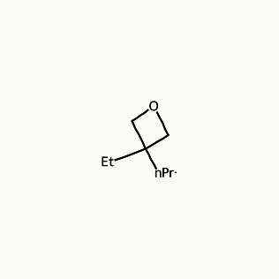 CC[CH]C1(CC)COC1